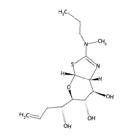 C=CC[C@@H](O)[C@H]1O[C@@H]2SC(N(C)CCC)=N[C@@H]2[C@@H](O)[C@@H]1O